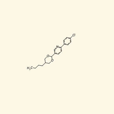 CCCCC1COC(c2ccc(-c3ccc(Cl)cc3)nc2)OC1